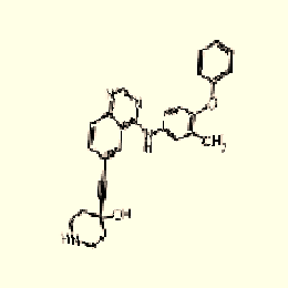 Cc1cc(Nc2ncnc3ccc(C#CC4(O)CCNCC4)cc23)ccc1Oc1ccccc1